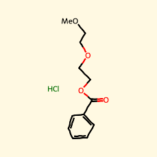 COCCOCCOC(=O)c1ccccc1.Cl